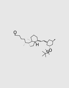 C[C@@H]1C/C(=C/C=C2\CCC[C@]3(C)[C@@H]([C@H](C)CCCC=O)CC[C@@H]23)C[C@@H](O[Si](C)(C)C(C)(C)C)C1